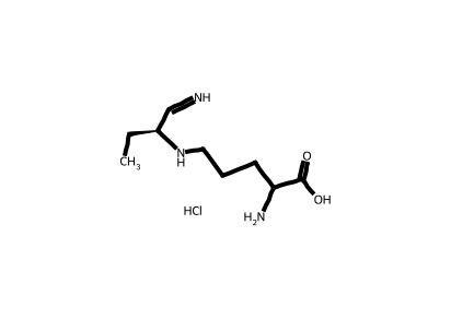 CC[C@@H](C=N)NCCCC(N)C(=O)O.Cl